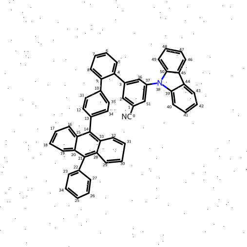 N#Cc1cc(-c2ccccc2-c2ccc(-c3c4ccccc4c(-c4ccccc4)c4ccccc34)cc2)cc(-n2c3ccccc3c3ccccc32)c1